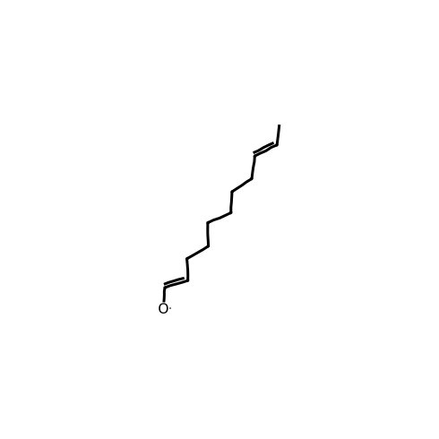 C/C=C/CCCCCC/C=C/[O]